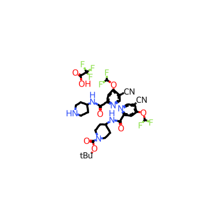 CC(C)(C)OC(=O)N1CCC(NC(=O)c2cc(OC(F)F)c(C#N)cn2)CC1.N#Cc1cnc(C(=O)NC2CCNCC2)cc1OC(F)F.O=C(O)C(F)(F)F